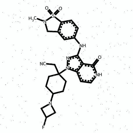 CN1Cc2cc(Nc3nn(C4(CC#N)CCC(N5CC(F)C5)CC4)c4cc[nH]c(=O)c34)ccc2S1(=O)=O